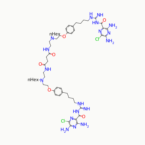 CCCCCCN(CCNC(=O)CCC(=O)NCCN(CCCCCC)CCOc1ccc(CCCCNC(=N)NC(=O)c2nc(Cl)c(N)nc2N)cc1)CCOc1ccc(CCCCNC(=N)NC(=O)c2nc(Cl)c(N)nc2N)cc1